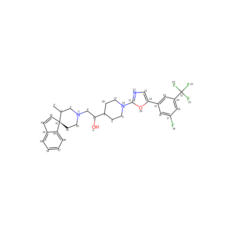 CC1CN(CC(O)C2CCN(c3ncc(-c4cc(F)cc(C(F)(F)F)c4)o3)CC2)CC[C@@]12C=Cc1ccccc12